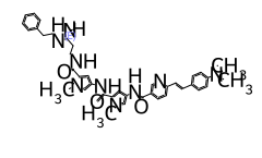 [H]/N=C(\CCNC(=O)c1cc(NC(=O)c2cc(NC(=O)c3ccc(C=Cc4ccc(N(C)C)cc4)nc3)cn2C)cn1C)NCCc1ccccc1